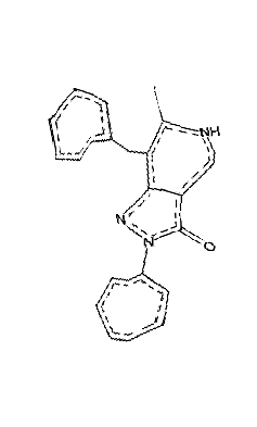 Cc1[nH]cc2c(=O)n(-c3ccccc3)nc-2c1-c1ccccc1